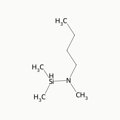 CCCCN(C)[SiH](C)C